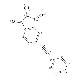 CN1C(=O)c2ccc(C#Cc3ccccc3)cc2C1=O